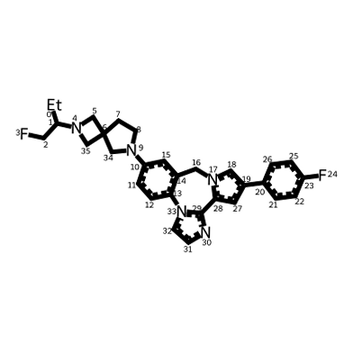 CCC(CF)N1CC2(CCN(c3ccc4c(c3)Cn3cc(-c5ccc(F)cc5)cc3-c3nccn3-4)C2)C1